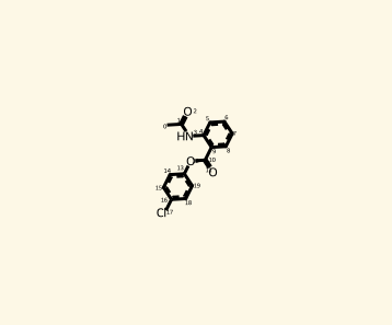 CC(=O)Nc1ccccc1C(=O)Oc1ccc(Cl)cc1